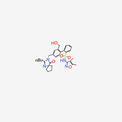 CCCCC1=NC2(CCCC2)C(=O)N1Cc1ccc(-c2ccccc2S(=O)(=O)Nc2noc(C)c2C)c(CO)c1